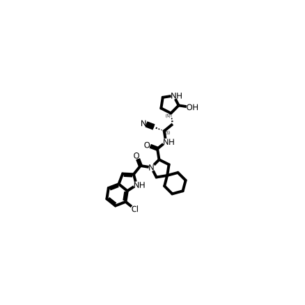 N#C[C@H](C[C@@H]1CCNC1O)NC(=O)C1CC2(CCCCC2)CN1C(=O)c1cc2cccc(Cl)c2[nH]1